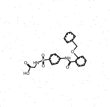 O=C(O)CNS(=O)(=O)c1ccc(NC(=O)c2ccccc2OCc2ccccc2)cc1